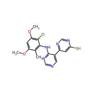 COc1cc(OC)c(Cl)c(Nc2ncncc2-c2cc(S)ncn2)c1C